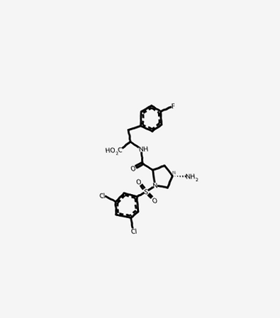 N[C@H]1CC(C(=O)NC(Cc2ccc(F)cc2)C(=O)O)N(S(=O)(=O)c2cc(Cl)cc(Cl)c2)C1